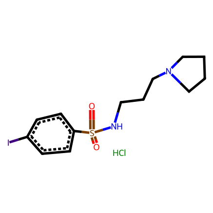 Cl.O=S(=O)(NCCCN1CCCC1)c1ccc(I)cc1